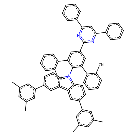 Cc1cc(C)cc(-c2ccc3c(c2)c2cc(-c4cc(C)cc(C)c4)ccc2n3-c2c(-c3ccccc3C#N)cc(-c3nc(-c4ccccc4)cc(-c4ccccc4)n3)cc2-c2ccccc2C#N)c1